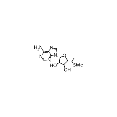 CSC(C)[C@H]1O[C@@H](n2cnc3c(N)ncnc32)[C@H](O)[C@@H]1O